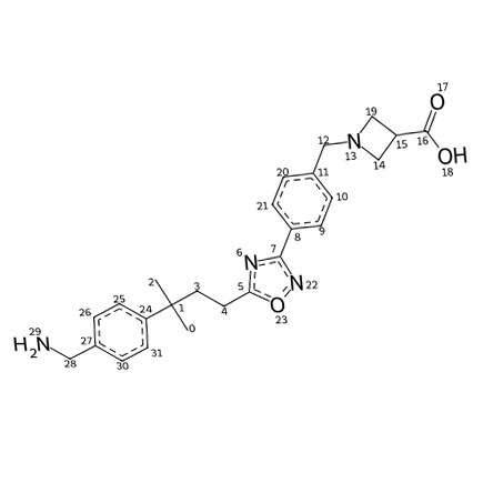 CC(C)(CCc1nc(-c2ccc(CN3CC(C(=O)O)C3)cc2)no1)c1ccc(CN)cc1